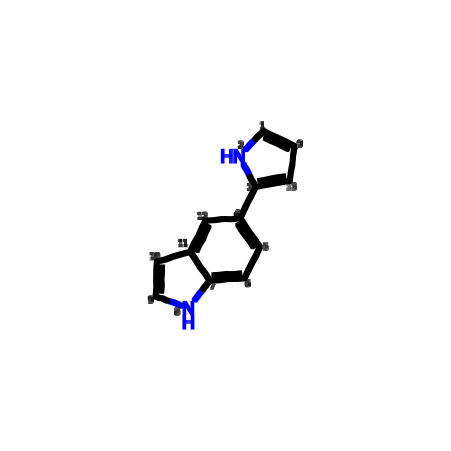 c1c[nH]c(-c2ccc3[nH]ccc3c2)c1